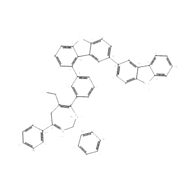 CCC1=C(c2cccc(-c3cccc4oc5ccc(-c6ccc7oc8ccccc8c7c6)cc5c34)c2)N[C@H](c2ccccc2)N=C(c2ccccc2)C1